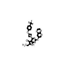 CCc1[nH]c2nc(Sc3cnc4nccnc4c3)nc(N3CC(Oc4ccc(C(F)(F)F)cc4)C3)c2c1Cl